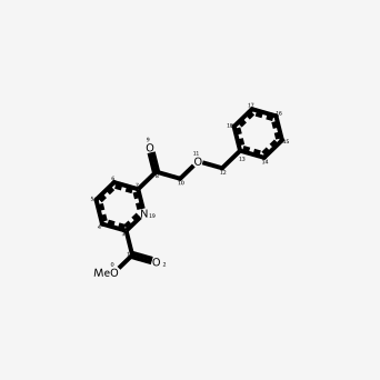 COC(=O)c1cccc(C(=O)COCc2ccccc2)n1